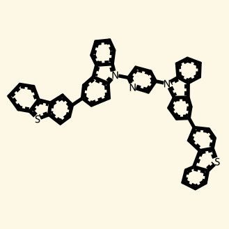 c1ccc2c(c1)sc1ccc(-c3ccc4c(c3)c3ccccc3n4-c3ccc(-n4c5ccccc5c5cc(-c6ccc7sc8ccccc8c7c6)ccc54)nc3)cc12